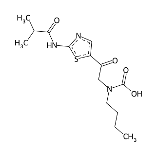 CCCCN(CC(=O)c1cnc(NC(=O)C(C)C)s1)C(=O)O